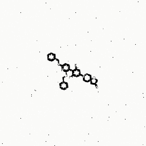 O=C1COC2(CCN(c3cc(F)c(-c4ccc(OCc5ccccc5)nc4OCc4ccccc4)c(F)c3)CC2)C1